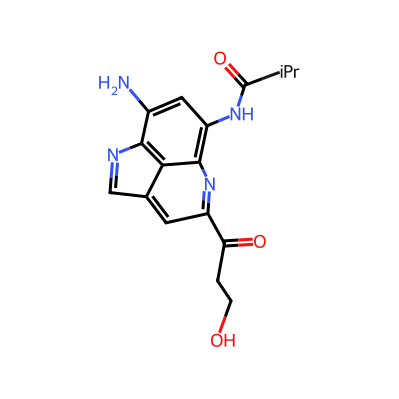 CC(C)C(=O)Nc1cc(N)c2c3c(cc(C(=O)CCO)nc13)C=N2